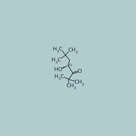 CC(C)(C)C[C@H](O)C(=O)C(C)(C)C